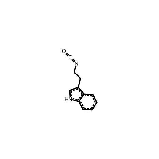 O=C=NCCc1c[nH]c2ccccc12